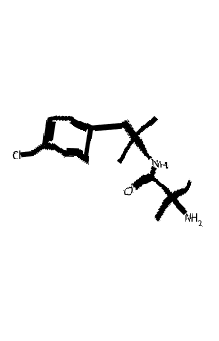 CC(C)(Cc1ccc(Cl)cc1)NC(=O)C(C)(C)N